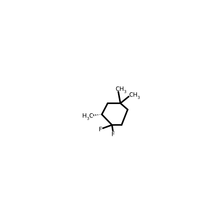 C[C@@H]1CC(C)(C)CCC1(F)F